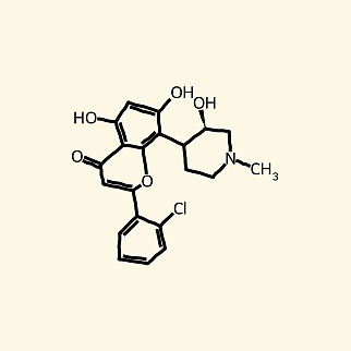 CN1CCC(c2c(O)cc(O)c3c(=O)cc(-c4ccccc4Cl)oc23)[C@@H](O)C1